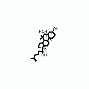 C=C(C)CCC[C@](C)(O)[C@H]1CCC2C3C(CC[C@@]21C)[C@@]1(C)CC[C@H](O)C[C@@H]1[C@@H](O)C3(C)C